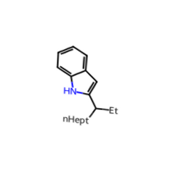 CC[CH]CCCCC(CC)c1cc2ccccc2[nH]1